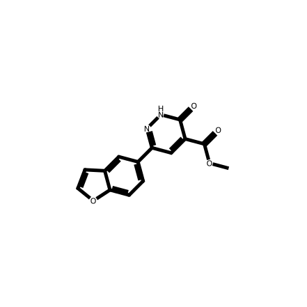 COC(=O)c1cc(-c2ccc3occc3c2)n[nH]c1=O